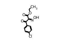 CCOC(=O)C(=NO)C(=O)c1ccc(Cl)cc1